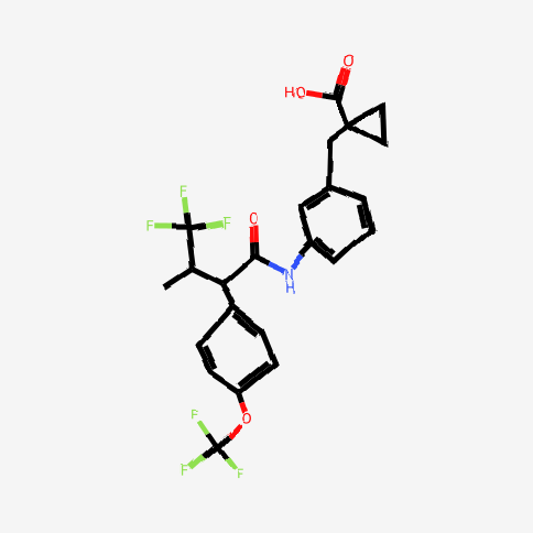 CC(C(C(=O)Nc1cccc(CC2(C(=O)O)CC2)c1)c1ccc(OC(F)(F)F)cc1)C(F)(F)F